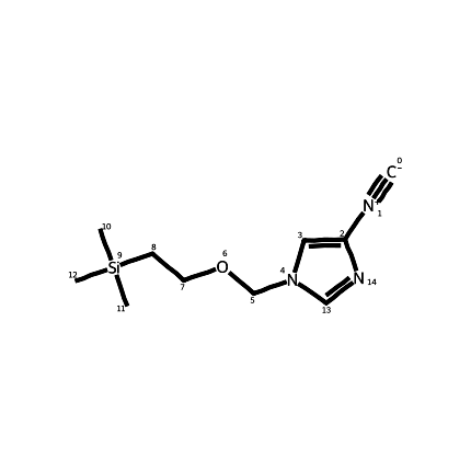 [C-]#[N+]c1cn(COCC[Si](C)(C)C)cn1